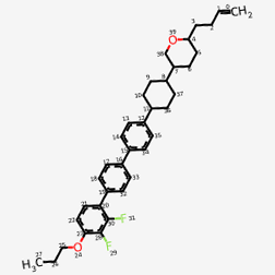 C=CCCC1CCC(C2CCC(c3ccc(-c4ccc(-c5ccc(OCCC)c(F)c5F)cc4)cc3)CC2)CO1